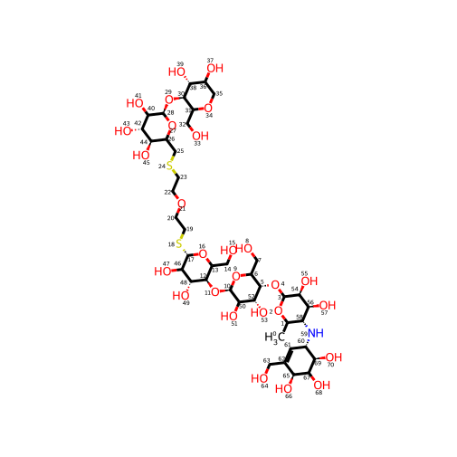 CC1OC(O[C@H]2C(CO)O[C@H](O[C@@H]3C(CO)O[C@@H](SCCOCCSCC4O[C@H](O[C@@H]5C(CO)OCC(O)[C@H]5O)C(O)[C@@H](O)[C@@H]4O)C(O)[C@H]3O)C(O)[C@H]2O)[C@@H](O)[C@@H](O)[C@@H]1N[C@H]1C=C(CO)[C@H](O)C(O)[C@@H]1O